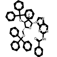 O=C(Nc1ncc2ncn([C@@H]3O[C@H](COC(c4ccccc4)(c4ccccc4)c4ccccc4)[C@@H](OC(c4ccccc4)(c4ccccc4)c4ccccc4)[C@H]3F)c2n1)c1ccccc1